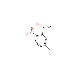 CC(O)c1cc(CBr)ccc1[N+](=O)[O-]